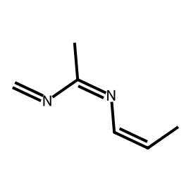 C=N/C(C)=N\C=C/C